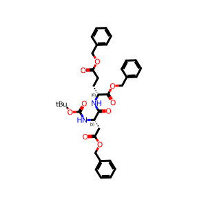 CC(C)(C)OC(=O)N[C@@H](CC(=O)OCc1ccccc1)C(=O)N[C@H](CCC(=O)OCc1ccccc1)C(=O)OCc1ccccc1